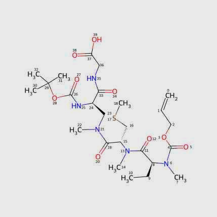 C=CCOC(=O)N(C)[C@@H](CC)C(=O)N(C)[C@@H](CSC)C(=O)N(C)C[C@@H](NC(=O)OC(C)(C)C)C(=O)NCC(=O)O